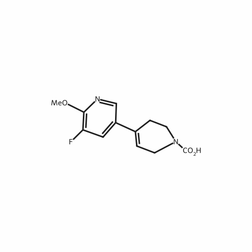 COc1ncc(C2=CCN(C(=O)O)CC2)cc1F